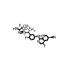 C[C@H](CS(=O)(=O)[C@@](C)(F)C(=N)N)c1cc(Nc2ncc(F)c3cc(C#N)cnc23)ccc1F